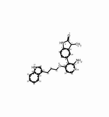 CC1C(=O)Nc2ccc(-c3c(OCCCc4c[nH]c5ccccc45)ccnc3N)cc21